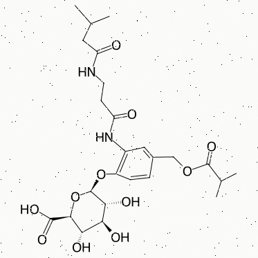 CC(C)CC(=O)NCCC(=O)Nc1cc(COC(=O)C(C)C)ccc1O[C@@H]1O[C@H](C(=O)O)[C@@H](O)[C@H](O)[C@H]1O